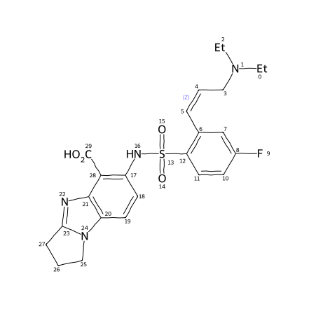 CCN(CC)C/C=C\c1cc(F)ccc1S(=O)(=O)Nc1ccc2c(nc3n2CCC3)c1C(=O)O